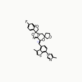 Cc1cn(-c2ccc(/C=C3\OC4(CCOC4)CN4C3=NOC4(CO)c3ccc(F)cc3)c3c(C)csc23)cn1